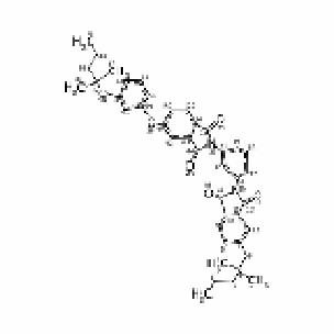 CCCC(C)(C)Cc1ccc2c(c1)C(=O)N(c1cccc(N3C(=O)c4ccc(Oc5cccc(OC(C)(C)CCC)c5)cc4C3=O)c1)C2=O